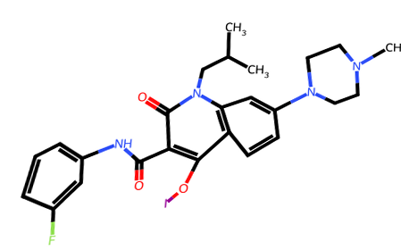 CC(C)Cn1c(=O)c(C(=O)Nc2cccc(F)c2)c(OI)c2ccc(N3CCN(C)CC3)cc21